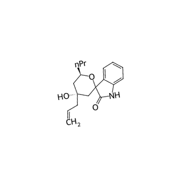 C=CC[C@@]1(O)C[C@@H](CCC)OC2(C1)C(=O)Nc1ccccc12